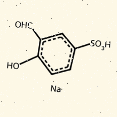 O=Cc1cc(S(=O)(=O)O)ccc1O.[Na]